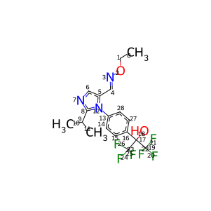 CCON=Cc1cnc(C(C)C)n1-c1ccc(C(O)(C(F)(F)F)C(F)(F)F)cc1